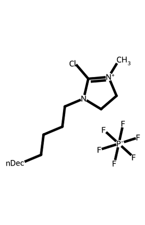 CCCCCCCCCCCCCCN1CC[N+](C)=C1Cl.F[P-](F)(F)(F)(F)F